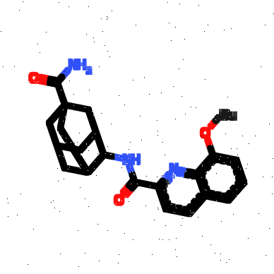 CCC(C)Oc1cccc2ccc(C(=O)NC3C4CC5CC3CC(C(N)=O)(C5)C4)nc12